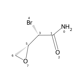 NC(=O)[C@@H](Br)[C@H]1CO1